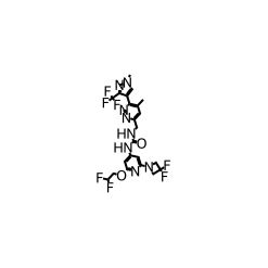 Cc1cc(CNC(=O)Nc2cc(OCC(F)F)nc(N3CC(F)(F)C3)c2)nnc1-c1cn(C)nc1C(F)(F)F